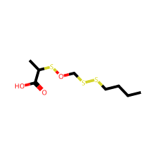 CCCCSSCOSC(C)C(=O)O